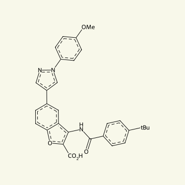 COc1ccc(-n2cc(-c3ccc4oc(C(=O)O)c(NC(=O)c5ccc(C(C)(C)C)cc5)c4c3)cn2)cc1